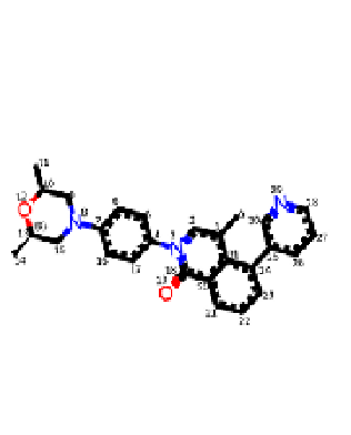 Cc1cn(-c2ccc(N3CC(C)O[C@H](C)C3)cc2)c(=O)c2cccc(-c3cccnc3)c12